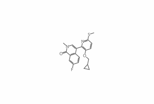 CSc1ccc(OCC2CC2)c(-c2cn(C)c(=O)c3cc(F)ccc23)n1